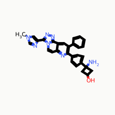 Cn1cnc(-c2nnc3c4cc(-c5ccccc5)c(-c5ccc(C6(N)CC(O)C6)cc5)nc4ccn23)c1